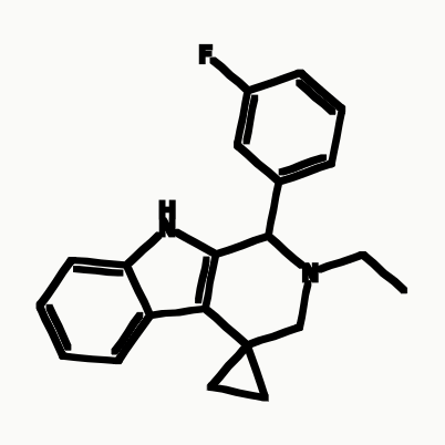 CCN1CC2(CC2)c2c([nH]c3ccccc23)C1c1cccc(F)c1